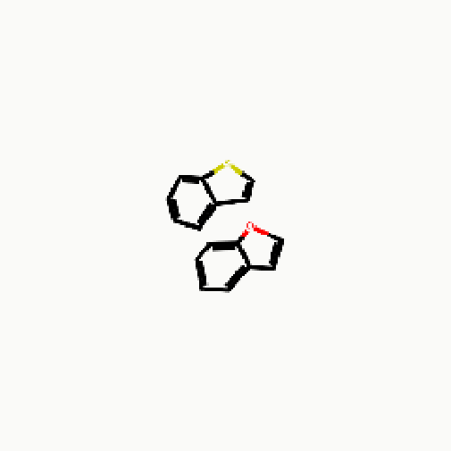 c1ccc2occc2c1.c1ccc2sccc2c1